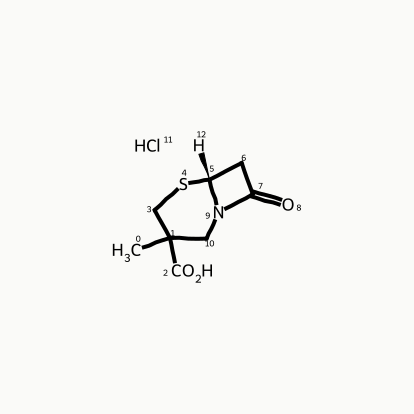 CC1(C(=O)O)CS[C@@H]2CC(=O)N2C1.Cl